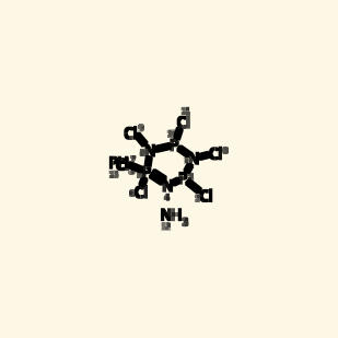 ClN1P(Cl)N=P(Cl)(Cl)N(Cl)P1Cl.N.P